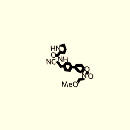 COCCCn1c(=O)oc2ccc(-c3ccc(C[C@@H](C#N)NC(=O)C4CCCCN4)cc3)cc21